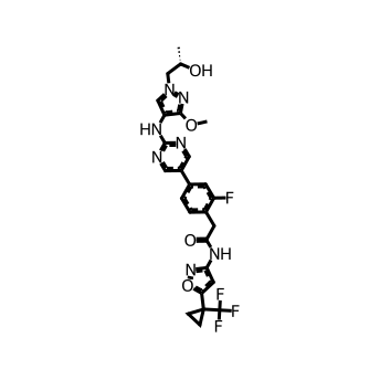 COc1nn(C[C@H](C)O)cc1Nc1ncc(-c2ccc(CC(=O)Nc3cc(C4(C(F)(F)F)CC4)on3)c(F)c2)cn1